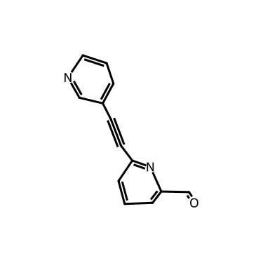 O=Cc1cccc(C#Cc2cccnc2)n1